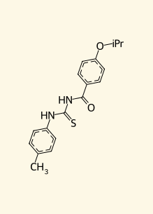 Cc1ccc(NC(=S)NC(=O)c2ccc(OC(C)C)cc2)cc1